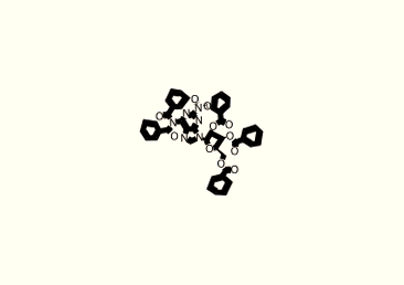 O=C(OC[C@H]1O[C@@H](n2cnc3c(N(C(=O)c4ccccc4)C(=O)c4ccccc4)nc([N+](=O)[O-])nc32)[C@@H](OC(=O)c2ccccc2)[C@@H]1OC(=O)c1ccccc1)c1ccccc1